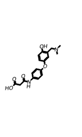 CN(C)Cc1cc(Oc2ccc(NC(=O)CC(=O)O)cc2)ccc1O